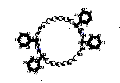 c1ccc(C2CCCCCCCCC(c3ccccc3)/N=N\C(c3ccccc3)CCCCCCCCC(c3ccccc3)/N=N\2)cc1